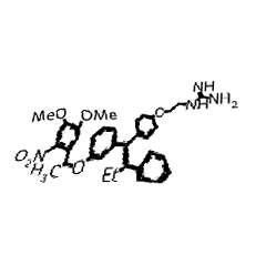 CC/C(=C(/c1ccc(OCCNC(=N)N)cc1)c1cccc(OC(C)c2cc(OC)c(OC)cc2[N+](=O)[O-])c1)c1ccccc1